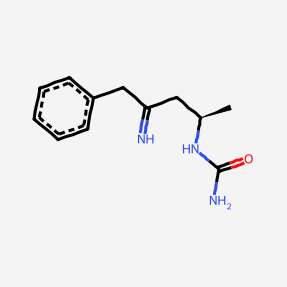 C[C@H](CC(=N)Cc1ccccc1)NC(N)=O